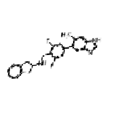 Cc1cc2[nH]cnc2cc1-c1cc(F)c(CNC2Cc3ccccc3C2)c(F)c1